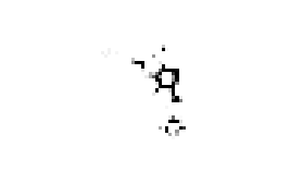 COCC(=O)Nc1c(OC(F)(F)F)ccc(C(=O)Nc2nnnn2C)c1Cl